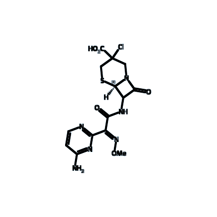 CON=C(C(=O)NC1C(=O)N2CC(Cl)(C(=O)O)CS[C@H]12)c1nccc(N)n1